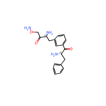 NOCC(=O)[C@@H](N)Cc1cccc(C(=O)[C@@H](N)Cc2ccccc2)c1